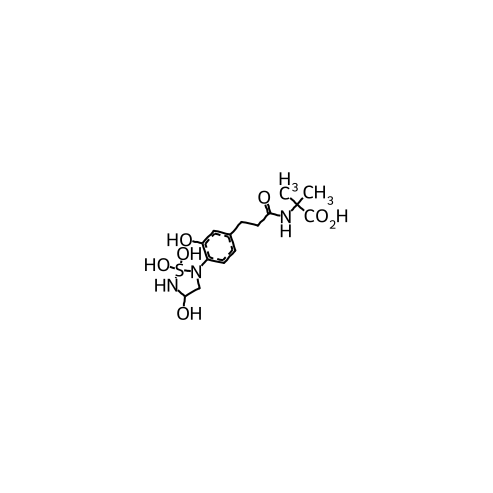 CC(C)(NC(=O)CCc1ccc(N2CC(O)NS2(O)O)c(O)c1)C(=O)O